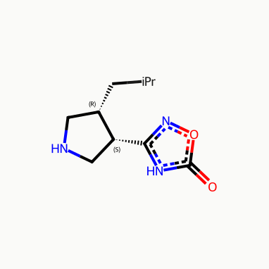 CC(C)C[C@H]1CNC[C@H]1c1noc(=O)[nH]1